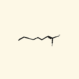 CCCCCC=C(F)I